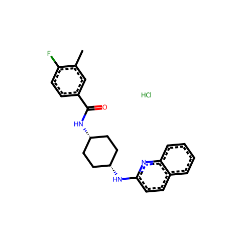 Cc1cc(C(=O)N[C@H]2CC[C@@H](Nc3ccc4ccccc4n3)CC2)ccc1F.Cl